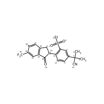 CCS(=O)(=O)c1cc(C(C)(C)C#N)cnc1N1Cc2cnc(C(F)(F)F)cc2C1=O